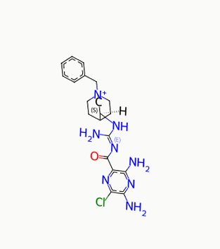 N/C(=N\C(=O)c1nc(Cl)c(N)nc1N)N[C@@H]1C[N+]2(Cc3ccccc3)CCC1CC2